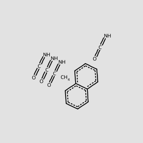 C.N=C=O.N=C=O.N=C=O.N=C=O.c1ccc2ccccc2c1